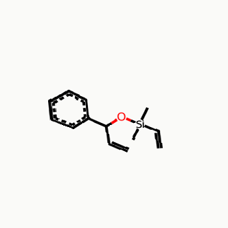 C=CC(O[Si](C)(C)C=C)c1ccccc1